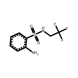 Nc1ccccc1S(=O)(=O)NCC(F)(F)F